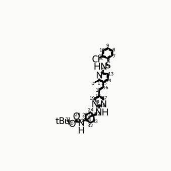 Cc1nc(NSc2ccccc2Cl)ccc1/C=C/c1cnc(NC23CCC(NC(=O)OC(C)(C)C)(CC2)CC3)nc1